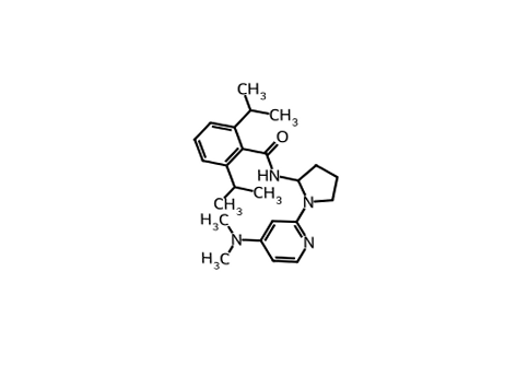 CC(C)c1cccc(C(C)C)c1C(=O)NC1CCCN1c1cc(N(C)C)ccn1